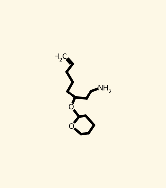 C=CCCCC(CCN)OC1CCCCO1